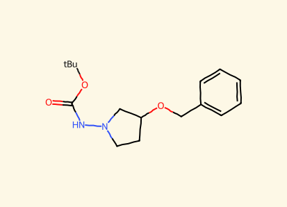 CC(C)(C)OC(=O)NN1CCC(OCc2ccccc2)C1